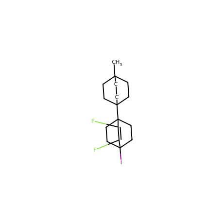 CC12CCC(C34CCC(I)(CC3)C(F)=C4F)(CC1)CC2